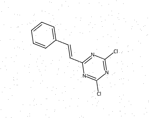 Clc1nc(Cl)nc(C=Cc2ccccc2)n1